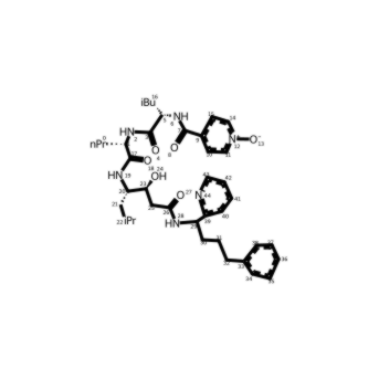 CCC[C@H](NC(=O)[C@@H](NC(=O)c1cc[n+]([O-])cc1)[C@@H](C)CC)C(=O)N[C@@H](CC(C)C)[C@@H](O)CC(=O)NC(CCCc1ccccc1)c1ccccn1